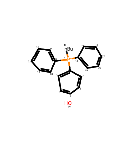 CCCC[P+](c1ccccc1)(c1ccccc1)c1ccccc1.[OH-]